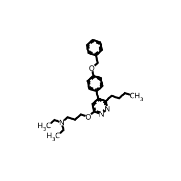 CCCCc1nnc(OCCCN(CC)CC)cc1-c1ccc(OCc2ccccc2)cc1